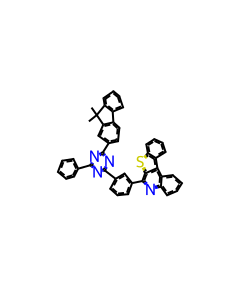 CC1(C)c2ccccc2-c2ccc(-c3nc(-c4ccccc4)nc(-c4cccc(-c5nc6ccccc6c6c5sc5ccccc56)c4)n3)cc21